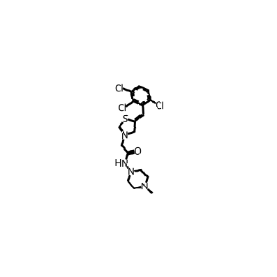 CN1CCN(NC(=O)CN2CS/C(=C\c3c(Cl)ccc(Cl)c3Cl)C2)CC1